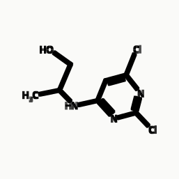 CC(CO)Nc1cc(Cl)nc(Cl)n1